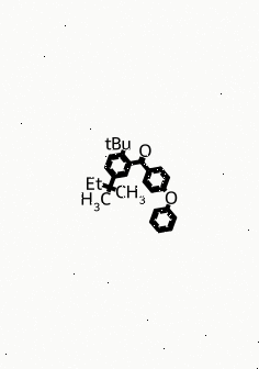 CCC(C)(C)c1ccc(C(C)(C)C)c(C(=O)c2ccc(Oc3ccccc3)cc2)c1